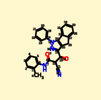 Cc1ccccc1NC(=O)C(C#N)C(=O)c1nn(-c2ccccc2)c2c1Cc1ccccc1-2